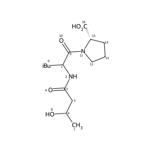 CCC(C)C(NC(=O)CC(C)O)C(=O)N1CCC[C@H]1C(=O)O